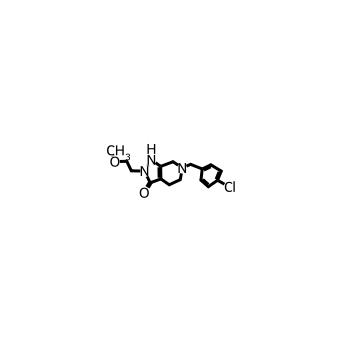 COCCn1[nH]c2c(c1=O)CCN(Cc1ccc(Cl)cc1)C2